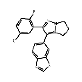 Fc1ccc(Cl)cc1-c1nn2c(c1-c1ccc3ncsc3c1)CCC2